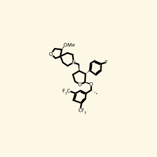 CO[C@H]1COCC12CCN(C[C@@H]1CCO[C@H](O[C@H](C)c3cc(C(F)(F)F)cc(C(F)(F)F)c3)[C@H]1c1ccc(F)cc1)CC2